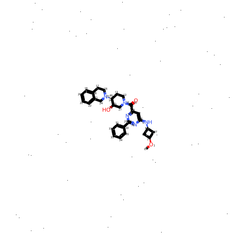 CO[C@H]1C[C@@H](Nc2cc(C(=O)N3CC[C@@H](N4CCc5ccccc5C4)C(O)C3)nc(-c3ccccc3)n2)C1